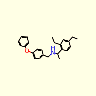 CCc1ccc(C(C)NCc2ccc(Oc3ccccc3)cc2)c(CC)c1